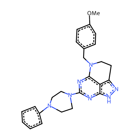 COc1ccc(CN2CCc3n[nH]c4nc(N5CCN(c6ccccc6)CC5)nc2c34)cc1